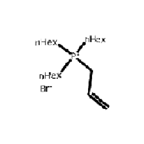 C=CC[P+](CCCCCC)(CCCCCC)CCCCCC.[Br-]